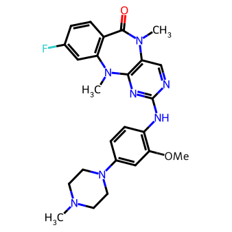 COc1cc(N2CCN(C)CC2)ccc1Nc1ncc2c(n1)N(C)c1cc(F)ccc1C(=O)N2C